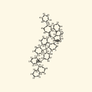 CC(C)(C)c1ccc2c(c1)C1(c3cc(-c4cccc(-c5cccc6ccccc56)c4)ccc3-c3ccc(N(c4ccc(-c5ccccc5)cc4)c4cccc5oc6ccccc6c45)cc31)c1cc(C(C)(C)C)ccc1-2